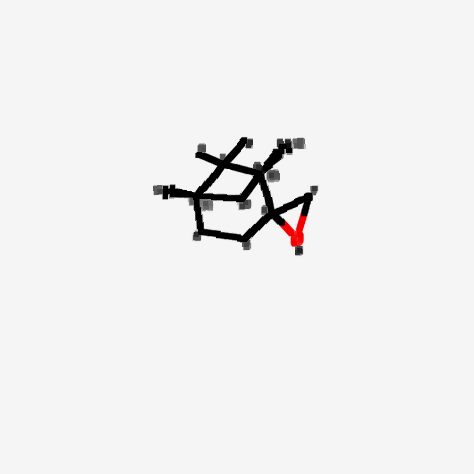 CC1(C)[C@H]2CCC3(CO3)[C@@H]1C2